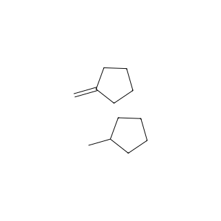 C=C1CCCC1.CC1CCCC1